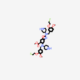 COC(=O)c1cc2oc(N(Cc3ccc(OC)c(OCCF)c3)C3CCNCC3)nc2cc1N(Cc1ccc(OC)c(OCCF)c1)C1CCNCC1